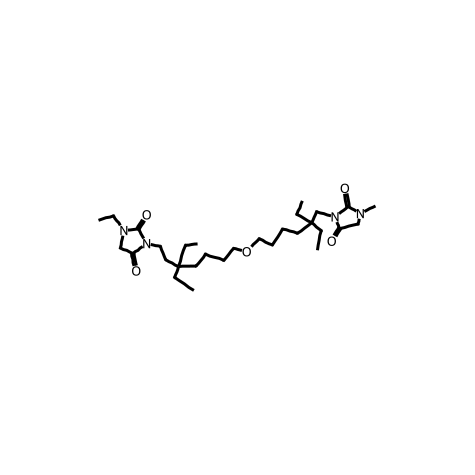 CCN1CC(=O)N(CCC(CC)(CC)CCCCOCCCCC(CC)(CC)CN2C(=O)CN(C)C2=O)C1=O